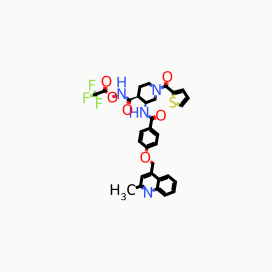 Cc1cc(COc2ccc(C(=O)N[C@@H]3CN(C(=O)c4cccs4)CC[C@@H]3C(=O)NOC(=O)C(F)(F)F)cc2)c2ccccc2n1